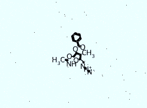 CC(=N)O[C@@H]1O[C@H](CN=[N+]=[N-])[C@H](C)C1OC(=O)c1ccccc1